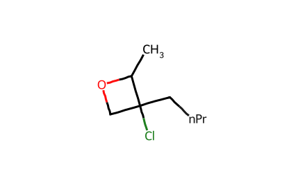 CCCCC1(Cl)COC1C